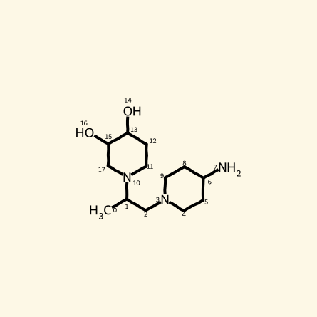 CC(CN1CCC(N)CC1)N1CCC(O)C(O)C1